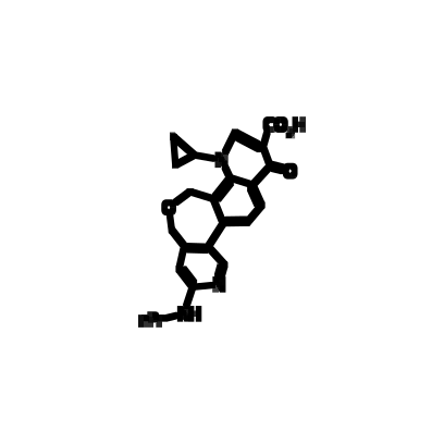 CCCNc1cc2c(cn1)-c1ccc3c(=O)c(C(=O)O)cn(C4CC4)c3c1COC2